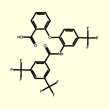 O=C(Nc1cc(C(F)(F)F)ccc1Oc1ccccc1C(=O)O)c1cc(C(F)(F)F)cc(C(F)(F)F)c1